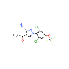 CC(=O)c1cn(-c2c(Cl)cc(OC(F)(F)F)cc2Cl)nc1C#N